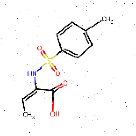 C/C=C(/NS(=O)(=O)c1ccc(C)cc1)C(=O)O